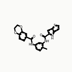 Cc1ccc(NC(=O)c2ccc3c(c2)OCCO3)cc1NC(=O)c1cc2sccc2[nH]1